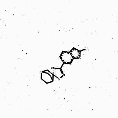 FC(F)(F)c1cc2ccc(C3=NO[C@@]4(CN5CCC4CC5)N3)cc2s1